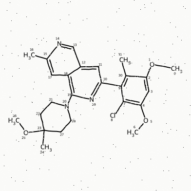 COc1cc(OC)c(Cl)c(-c2cc3cnc(C)cc3c(N3CCC(C)(OC)CC3)n2)c1C